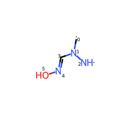 [CH2]N([NH])C=NO